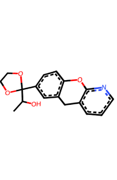 CC(O)C1(c2ccc3c(c2)Cc2cccnc2O3)OCCO1